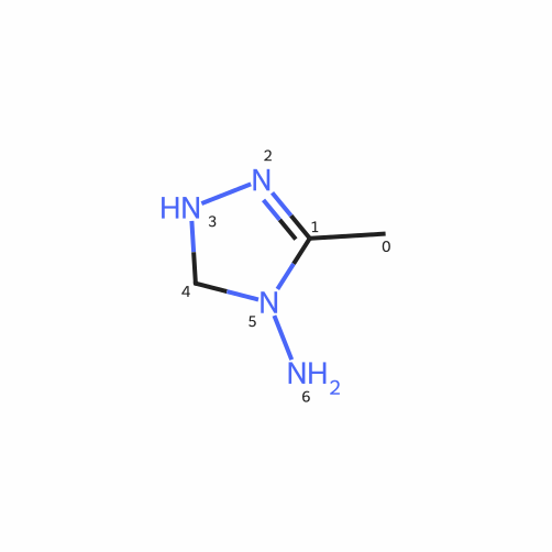 CC1=NNCN1N